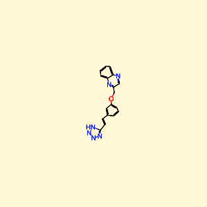 C(=C\c1nnn[nH]1)/c1cccc(OCc2cnc3ccccc3n2)c1